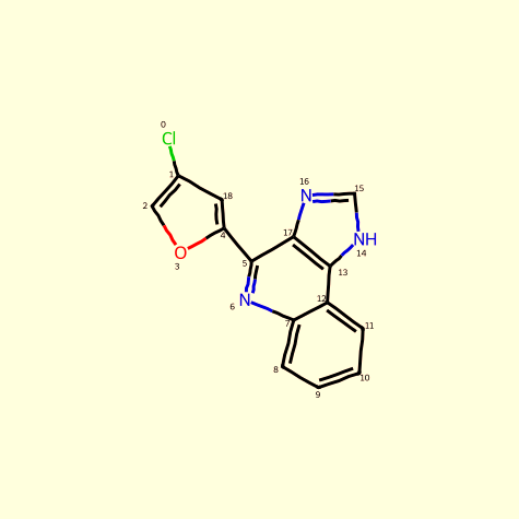 Clc1coc(-c2nc3ccccc3c3[nH]cnc23)c1